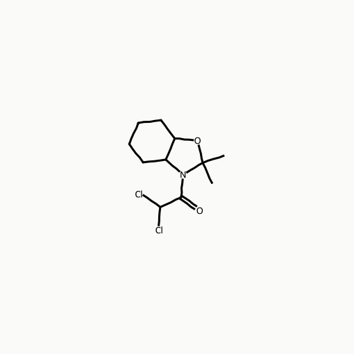 CC1(C)OC2CCCCC2N1C(=O)C(Cl)Cl